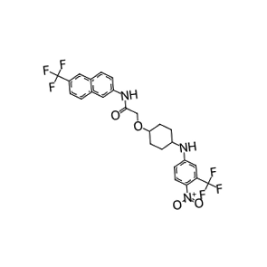 O=C(COC1CCC(Nc2ccc([N+](=O)[O-])c(C(F)(F)F)c2)CC1)Nc1ccc2cc(C(F)(F)F)ccc2c1